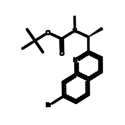 C[C@H](c1ccc2ccc(Br)cc2n1)N(C)C(=O)OC(C)(C)C